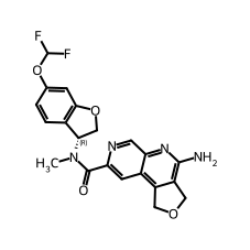 CN(C(=O)c1cc2c3c(c(N)nc2cn1)COC3)[C@H]1COc2cc(OC(F)F)ccc21